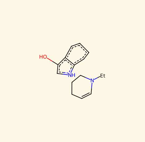 CCN1C=CCCC1.Oc1c[nH]c2ccccc12